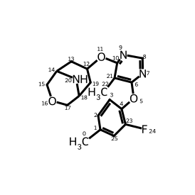 Cc1ccc(Oc2ncnc(OC3CC4COCC(C3)N4)c2C)c(F)c1